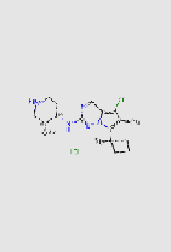 CCC1(c2c(C#N)c(Cl)c3cnc(N[C@H]4CCNC[C@H]4OC(C)=O)nn23)CCC1.Cl